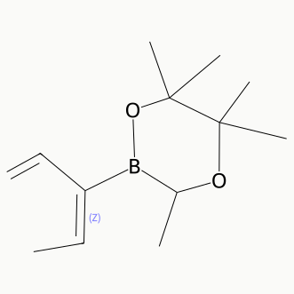 C=C/C(=C\C)B1OC(C)(C)C(C)(C)OC1C